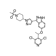 CC(Oc1ccc2[nH]nc(-c3cnn(C4CCN(S(C)(=O)=O)CC4)c3)c2c1)c1c(Cl)cncc1Cl